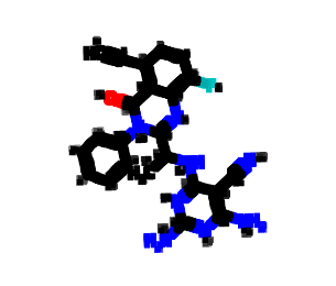 C#Cc1ccc(F)c2nc(C(C)Nc3nc(N)nc(N)c3C#N)n(-c3ccccc3)c(=O)c12